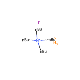 CCCC[N+](CCCC)(CCCC)CCCC.P.[I-]